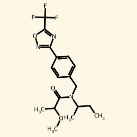 CCC(C)N(Cc1ccc(-c2noc(C(F)(F)F)n2)cc1)C(=O)C(C)OC